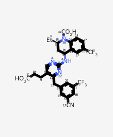 CC[C@@H]1C[C@H](Nc2ncc(CCC(=O)O)c(Cc3cc(C#N)cc(C(F)(F)F)c3)n2)c2cc(C(F)(F)F)ccc2N1C(=O)O